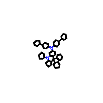 c1ccc(-c2ccc(N(c3ccc(-c4ccccc4)cc3)c3ccc4c(c3)N(c3ccccc3)c3ccccc3C4(c3ccccc3)c3ccccc3)cc2)cc1